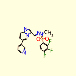 CN(N=Cc1cnc2ccc(-c3cccnc3)cn12)S(=O)(=O)c1ccc(F)c(F)c1F